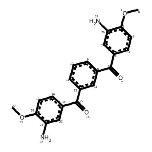 COc1ccc(C(=O)c2cccc(C(=O)c3ccc(OC)c(N)c3)c2)cc1N